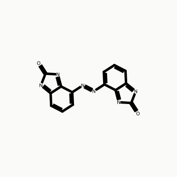 O=C1N=c2cccc(N=Nc3cccc4c3=NC(=O)N=4)c2=N1